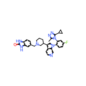 Cc1nnc(C2CC2)n1-c1cc(F)ccc1-n1cc(C2CCCN(Cc3ccc4[nH]c(=O)[nH]c4c3)C2)c2ccncc21